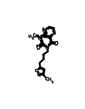 Cc1cc(CCCCn2c(=O)c3nccnc3n(C)c2=O)on1